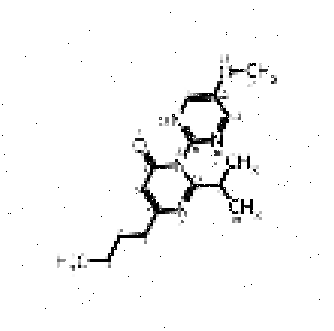 CCCCc1cc(=O)n(-c2ncc(OC)cn2)c(C(C)C)n1